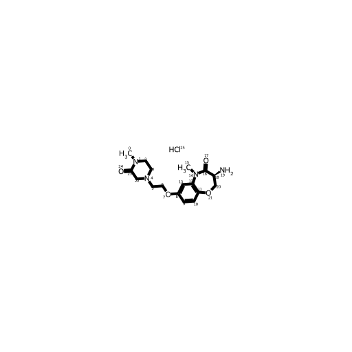 CN1CCN(CCOc2ccc3c(c2)N(C)C(=O)[C@@H](N)CO3)CC1=O.Cl